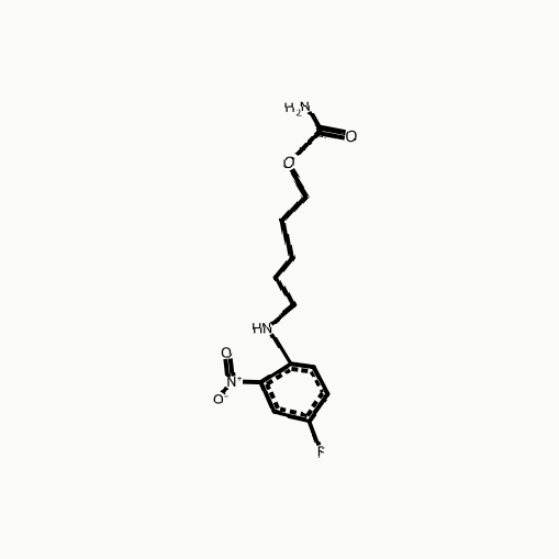 NC(=O)OCCCCCNc1ccc(F)cc1[N+](=O)[O-]